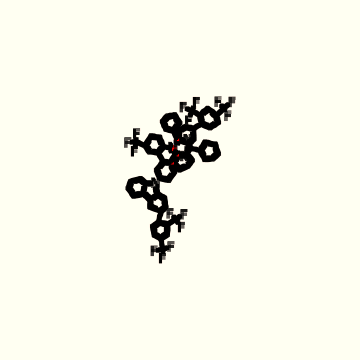 FC(F)(F)c1ccc(-n2c3ccccc3c3cc(-c4ccc(C(F)(F)F)cc4C(F)(F)F)ccc32)c(-c2cc(-n3c4ccccc4c4cc(-c5ccc(C(F)(F)F)cc5C(F)(F)F)ccc43)ccc2-c2nc(-c3ccccc3)nc(-c3ccccc3)n2)c1